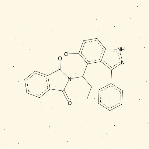 CCC(c1c(Cl)ccc2[nH]nc(-c3ccccc3)c12)N1C(=O)c2ccccc2C1=O